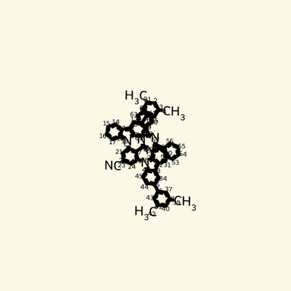 Cc1cc(C)cc(-c2ccc3c(c2)c2ccccc2n3-c2cc(C#N)cc(-n3c4ccccc4c4cc(-c5cc(C)cc(C)c5)ccc43)c2-c2nc(-c3ccccc3)nc(-c3ccccc3)n2)c1